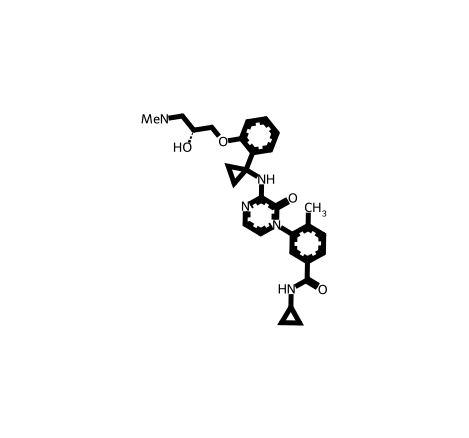 CNC[C@@H](O)COc1ccccc1C1(Nc2nccn(-c3cc(C(=O)NC4CC4)ccc3C)c2=O)CC1